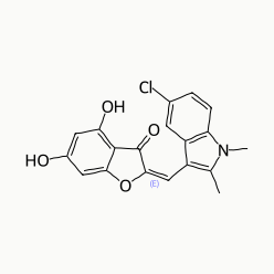 Cc1c(/C=C2/Oc3cc(O)cc(O)c3C2=O)c2cc(Cl)ccc2n1C